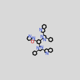 c1ccc(-c2cc(-c3cnc4ccccc4c3)nc(-c3cc(-c4nc(-c5ccccc5)cc(-c5cnc6ccccc6c5)n4)cc(-c4nc5ncccc5o4)c3)n2)cc1